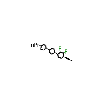 CC#Cc1ccc(-c2ccc(-c3ccc(CCC)cc3)cc2)c(F)c1F